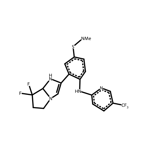 CNSc1ccc(Nc2ccc(C(F)(F)F)cn2)c(C2=CN3CCC(F)(F)C3N2)c1